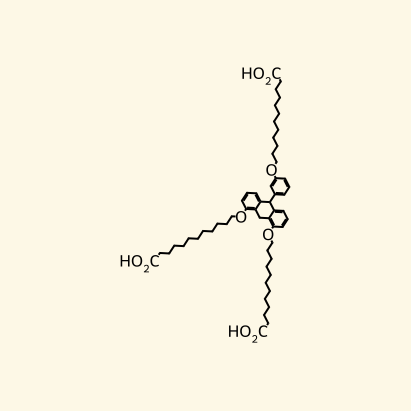 O=C(O)CCCCCCCCCCCOc1cccc(C2c3cccc(OCCCCCCCCCCCC(=O)O)c3Cc3c(OCCCCCCCCCCCC(=O)O)cccc32)c1